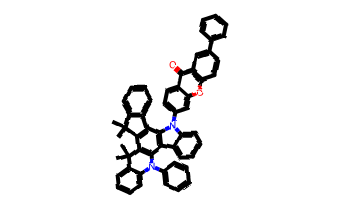 CC1(C)c2ccccc2N(c2ccccc2)c2c1c1c(c3c2c2ccccc2n3-c2ccc3c(=O)c4cc(-c5ccccc5)ccc4oc3c2)-c2ccccc2C1(C)C